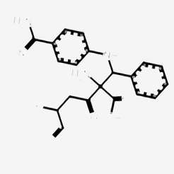 CC(C=O)CC(=O)C(N)(C(=O)O)C(Nc1ccc(C(=N)N)cc1)c1ccccc1